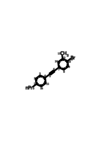 CCCc1ccc(C#Cc2ccc(Br)c(C)c2)cc1